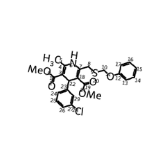 COC(=O)C1=C(C)NC(CSCOc2ccccc2)=C(C(=O)OC)C1c1cccc(Cl)c1